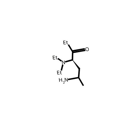 CCC(=O)[C@@H](CC(C)N)N(CC)CC